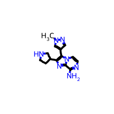 Cn1cc(-c2c(C3CCNC3)nc3c(N)nccn23)cn1